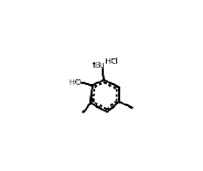 Cc1cc(C)c(O)c(C(C)(C)C)c1.Cl